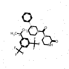 C[C@@H](O[C@H]1CCN(C(=O)N2CCNC(=O)C2)C[C@H]1c1ccccc1)c1cc(C(F)(F)F)cc(C(F)(F)F)c1